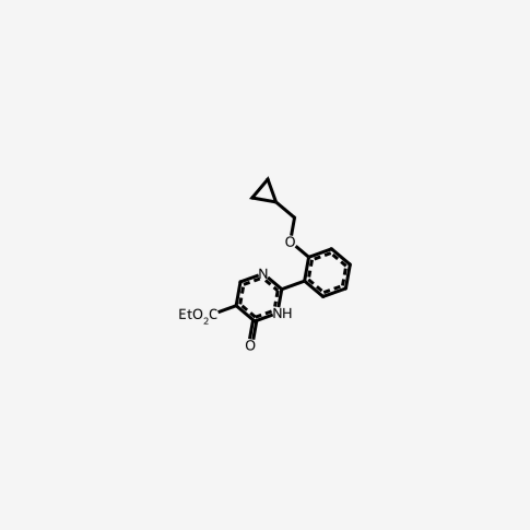 CCOC(=O)c1cnc(-c2ccccc2OCC2CC2)[nH]c1=O